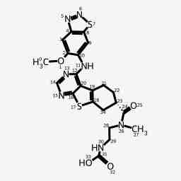 COc1cc2nnsc2cc1Nc1ncnc2sc3c(c12)CC[C@H](C(=O)N(C)CCNC(=O)O)C3